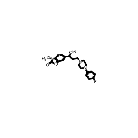 Cn1c(=O)oc2cc(C(O)CCN3CCN(c4ccc(F)cc4)CC3)ccc21